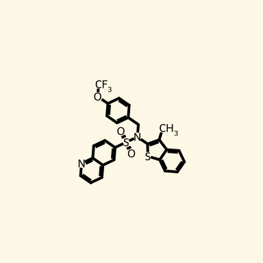 Cc1c(N(Cc2ccc(OC(F)(F)F)cc2)S(=O)(=O)c2ccc3ncccc3c2)sc2ccccc12